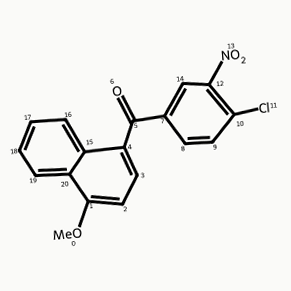 COc1ccc(C(=O)c2ccc(Cl)c([N+](=O)[O-])c2)c2ccccc12